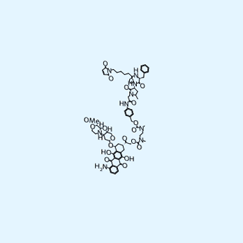 CO[C@H]1OCCN2[C@@H]1O[C@@H]1COC(O[C@H]3C[C@H](C(=O)COC(=O)N(C)CCN(C)C(=O)OCc4ccc(NC(=O)CN5C(=O)[C@@H](NC(=O)[C@H](Cc6ccccc6)NC(=O)CCCCCN6C(=O)C=CC6=O)CC5C)cc4)Cc4c(O)c5c(c(O)c43)C(=O)c3c(N)cccc3C5=O)C[C@@H]12